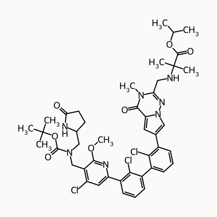 COc1nc(-c2cccc(-c3cccc(-c4cc5c(=O)n(C)c(CNC(C)(C)C(=O)OC(C)C)nn5c4)c3Cl)c2Cl)cc(Cl)c1CN(CC1CCC(=O)N1)C(=O)OC(C)(C)C